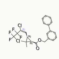 CC1(C)[C@H](C(=O)OCc2cccc(-c3ccccc3)c2)[C@@H]1/C=C(/Cl)C(F)(F)C(F)(F)Cl